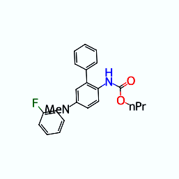 CCCOC(=O)Nc1ccc(NC)cc1-c1ccccc1.Fc1ccccc1